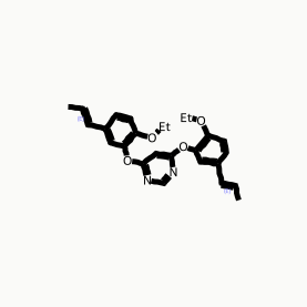 C/C=C/c1ccc(OCC)c(Oc2cc(Oc3cc(/C=C/C)ccc3OCC)ncn2)c1